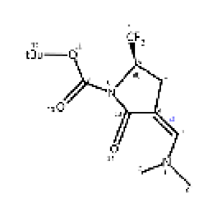 CN(C)/C=C1/C[C@H](C(F)(F)F)N(C(=O)OC(C)(C)C)C1=O